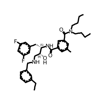 CCCCN(CCCC)C(=O)c1cc(C)cc(C(=O)N[C@@H](Cc2cc(F)cc(F)c2)[C@H](O)CNCc2cccc(CC)c2)c1